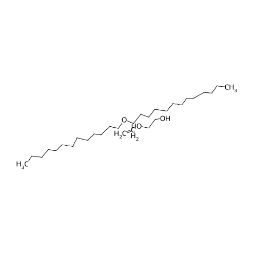 C=C.CCCCCCCCCCCCCOCCCCCCCCCCCCC.OCCO